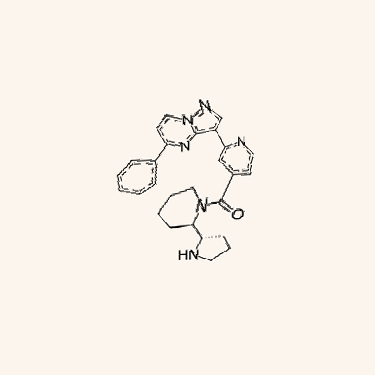 O=C(c1ccnc(-c2cnn3ccc(-c4ccccc4)nc23)c1)N1CCCC[C@@H]1[C@@H]1CCCN1